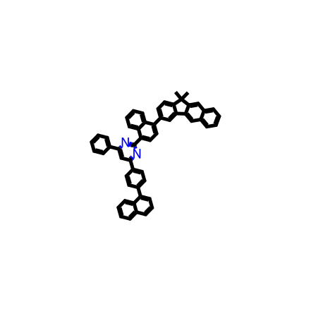 CC1(C)c2ccc(-c3ccc(-c4nc(-c5ccccc5)cc(-c5ccc(-c6cccc7ccccc67)cc5)n4)c4ccccc34)cc2-c2cc3ccccc3cc21